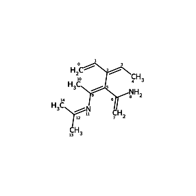 C=CC(=C/C)/C(C(=C)N)=C(\C)N=C(C)C